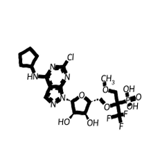 COCC(OC[C@H]1O[C@@H](n2ncc3c(NC4CCCC4)nc(Cl)nc32)[C@H](O)[C@@H]1O)(C(F)(F)F)P(=O)(O)O